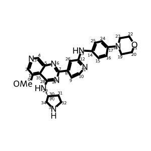 COc1cncc2nc(-c3ccnc(Nc4ccc(N5CCOCC5)cc4)c3)nc(N[C@@H]3CCNC3)c12